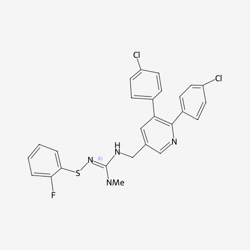 CN/C(=N\Sc1ccccc1F)NCc1cnc(-c2ccc(Cl)cc2)c(-c2ccc(Cl)cc2)c1